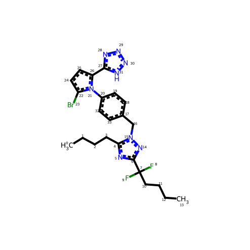 CCCCc1nc(C(F)(F)CCCC)nn1Cc1ccc(-n2c(Br)ccc2-c2nnn[nH]2)cc1